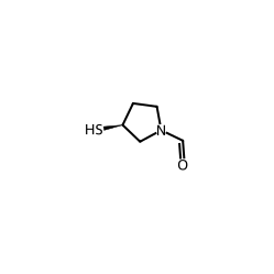 O=CN1CC[C@H](S)C1